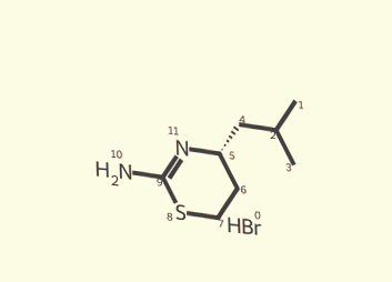 Br.CC(C)C[C@@H]1CCSC(N)=N1